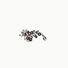 Cc1c(C(=O)N(c2ccc(O)cc2)c2cc(C#N)n(C)c2C)c(-c2cc3c(cc2C(=O)N2Cc4ccccc4C[C@H]2CN2CCC4(CC4)C2)CN(C(=O)Cc2ccc(OCCN4CCOCC4)cc2F)CC3)cn1C